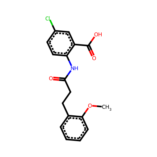 COc1ccccc1CCC(=O)Nc1ccc(Cl)cc1C(=O)O